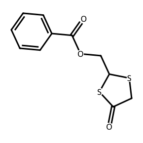 O=C1CSC(COC(=O)c2ccccc2)S1